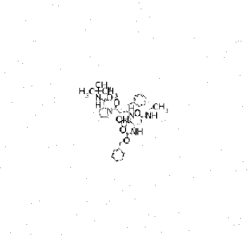 CCNC(=O)C[C@H](NC(=O)OCc1ccccc1)C(=O)N[C@@H](Cc1ccccc1)[C@H](O)C(=O)N1CCC[C@H]1C(=O)NC(C)(C)C